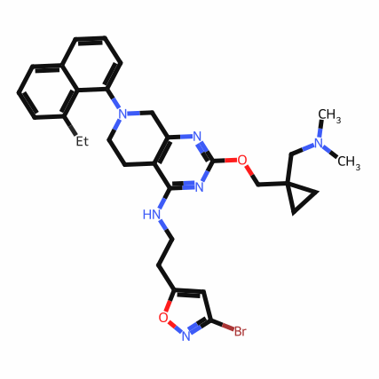 CCc1cccc2cccc(N3CCc4c(nc(OCC5(CN(C)C)CC5)nc4NCCc4cc(Br)no4)C3)c12